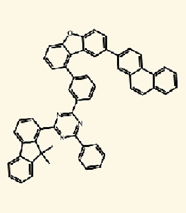 CC1(C)c2ccccc2-c2cccc(-c3nc(-c4ccccc4)nc(-c4cccc(-c5cccc6oc7ccc(-c8ccc9c(ccc%10ccccc%109)c8)cc7c56)c4)n3)c21